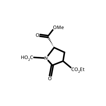 CCOC(=O)C1C[C@@H](C(=O)OC)N(C(=O)O)C1=O